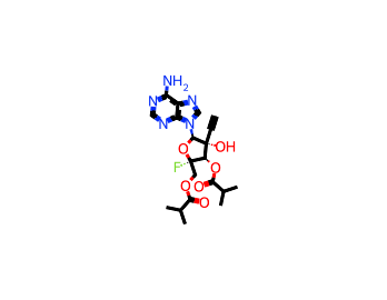 C#C[C@]1(O)[C@H](n2cnc3c(N)ncnc32)O[C@](F)(COC(=O)C(C)C)[C@H]1OC(=O)C(C)C